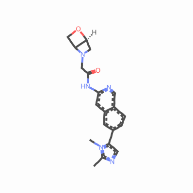 Cc1ncc(-c2ccc3cnc(NC(=O)CN4C[C@@H]5OCC54)cc3c2)n1C